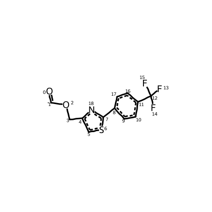 O=[C]OCc1csc(-c2ccc(C(F)(F)F)cc2)n1